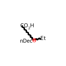 CCC=CC=COC(=CC=CCCCCCCCC(=O)O)CCCCCCCCCC